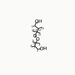 CC(CO)C(C)(C)OOC(C)(C)C(C)CO